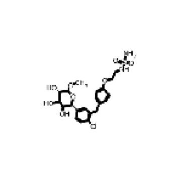 CO[C@H]1O[C@@H](c2ccc(Cl)c(Cc3ccc(OCCNS(N)(=O)=O)cc3)c2)C(O)C(O)[C@@H]1O